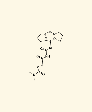 CN(C)C(=O)CCC(=O)NC(=O)Nc1c2c(cc3c1CCC3)CCC2